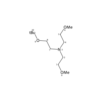 COCCN(CCOC)CCOC(C)(C)C